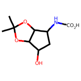 CC1(C)OC2C(O)CC(NC(=O)O)C2O1